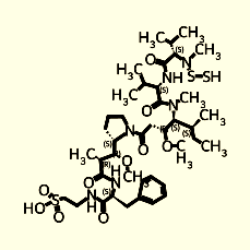 CC[C@H](C)[C@@H]([C@@H](CC(=O)N1CCC[C@H]1[C@H](OC)[C@@H](C)C(=O)N[C@@H](Cc1ccccc1)C(=O)NCCS(=O)(=O)O)OC)N(C)C(=O)[C@@H](NC(=O)[C@H](C(C)C)N(C)SS)C(C)C